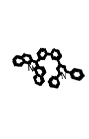 c1ccc(-c2cc(-c3cccc(-c4cccc(-c5c6ccc7ccccc7c6nc6c5ccc5ccccc56)c4)c3)cc(-c3ccccc3)n2)cc1